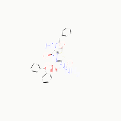 CC(C)N(C(N)=O)C1=C(C(=O)OC(c2ccccc2)c2ccccc2)N2C(=O)C(NC(=O)Cc3ccccc3)[C@H]2SC1